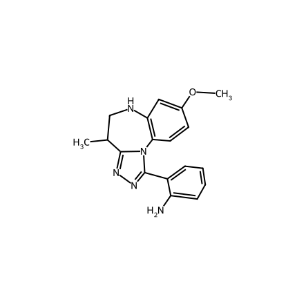 COc1ccc2c(c1)NCC(C)c1nnc(-c3ccccc3N)n1-2